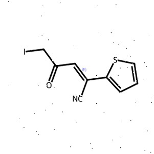 N#C/C(=C\C(=O)CI)c1cccs1